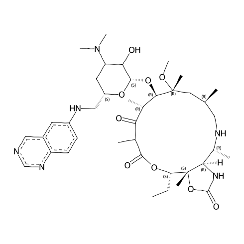 CC[C@@H]1OC(=O)C(C)C(=O)[C@H](C)[C@@H](O[C@@H]2O[C@H](CNc3ccc4ncncc4c3)CC(N(C)C)C2O)[C@](C)(OC)C[C@@H](C)CN[C@H](C)[C@H]2NC(=O)O[C@]12C